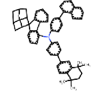 CC1(C)CCC(C)(C)c2cc(-c3ccc(N(c4ccc(-c5cccc6ccccc56)cc4)c4cccc5c4-c4ccccc4C54C5CC6CC7CC4C75C6)cc3)ccc21